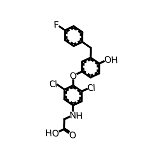 O=C(O)CNc1cc(Cl)c(Oc2ccc(O)c(Cc3ccc(F)cc3)c2)c(Cl)c1